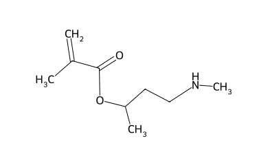 C=C(C)C(=O)OC(C)CCNC